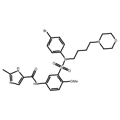 COc1ccc(NC(=O)c2cnc(C)[nH]2)cc1S(=O)(=O)N(CCCCN1CCOCC1)c1ccc(Br)cc1